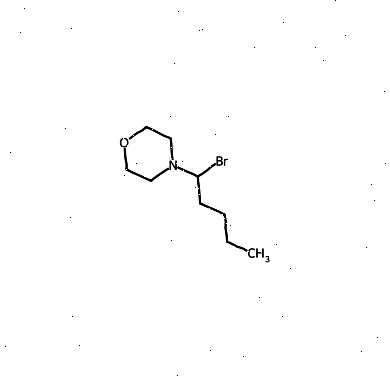 CCCCC(Br)N1CCOCC1